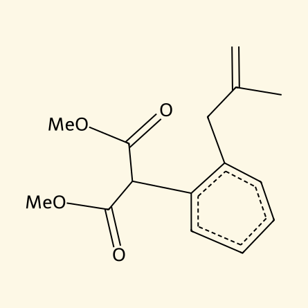 C=C(C)Cc1ccccc1C(C(=O)OC)C(=O)OC